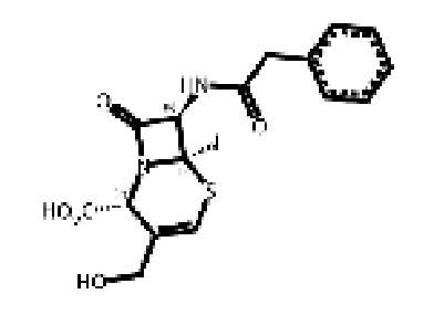 O=C(Cc1ccccc1)N[C@@H]1C(=O)N2[C@@H](C(=O)O)C(CO)=CS[C@H]12